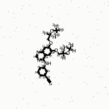 [2H]C([2H])([2H])OC([2H])([2H])COc1cc2ncnc(Nc3cccc(C#C)c3)c2cc1OCC([2H])([2H])OC([2H])([2H])[2H]